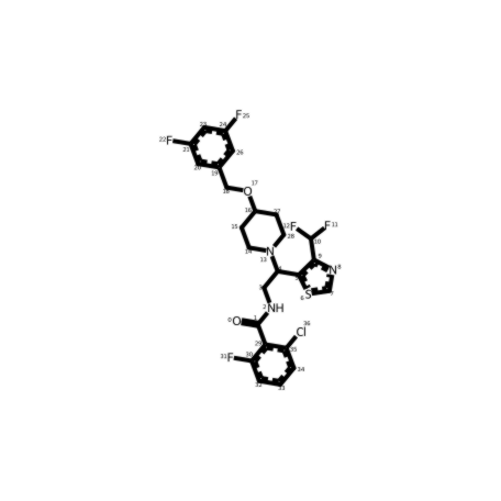 O=C(NCC(c1scnc1C(F)F)N1CCC(OCc2cc(F)cc(F)c2)CC1)c1c(F)cccc1Cl